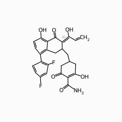 C=C/C(O)=C1/C(=O)c2c(O)ccc(-c3ccc(F)cc3F)c2CC1CC1CC(=O)C(C(N)=O)=C(O)C1